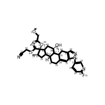 COCC(=O)O[C@]1(C(=O)SCC#N)[C@H](C)CC2[C@@H]3CCC4=Cc5c(cnn5-c5ccc(F)nc5)C[C@]4(C)C3[C@@H](O)C[C@@]21C